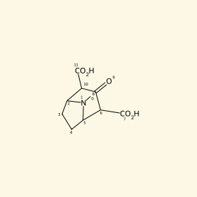 CN1C2CCC1C(C(=O)O)C(=O)C2C(=O)O